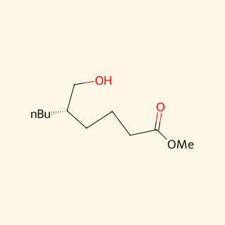 CCCC[C@H](CO)CCCC(=O)OC